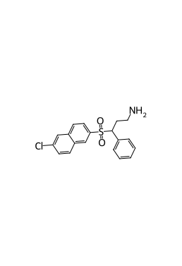 NCCC(c1ccccc1)S(=O)(=O)c1ccc2cc(Cl)ccc2c1